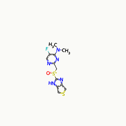 CN(C)c1nc(C[S+]([O-])c2nc3cscc3[nH]2)ncc1F